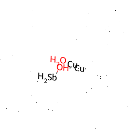 O.[Cu].[Cu].[OH][SbH2]